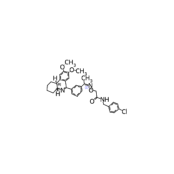 COc1cc2c(cc1OC)[C@H]1CCCC[C@H]1N=C2c1cccc(/C(C)=N\OCC(=O)NCc2ccc(Cl)cc2)c1